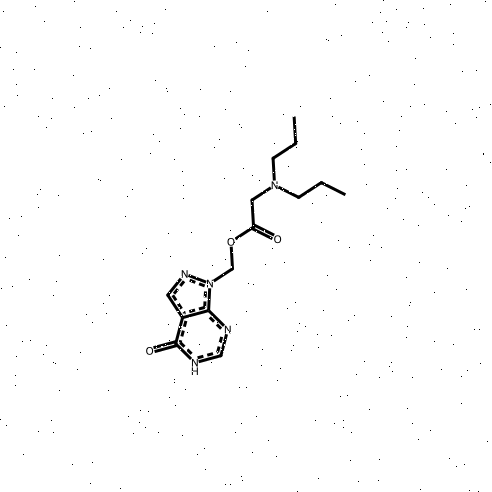 CCCN(CCC)CC(=O)OCn1ncc2c(=O)[nH]cnc21